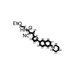 CCOCCNC(=O)/C(C#N)=C(\C)c1ccc(-c2ccc3cc(N4CCCCC4)ccc3c2)s1